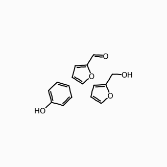 O=Cc1ccco1.OCc1ccco1.Oc1ccccc1